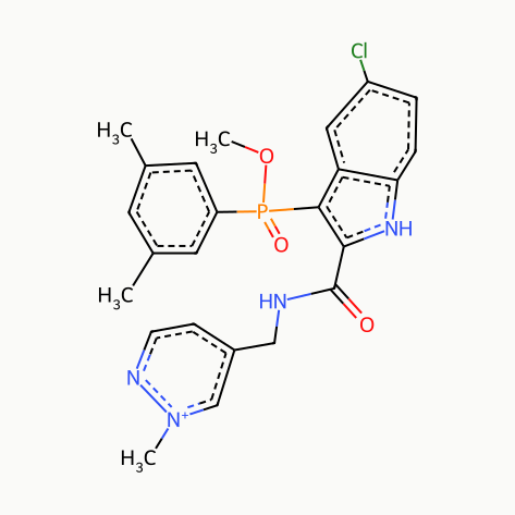 COP(=O)(c1cc(C)cc(C)c1)c1c(C(=O)NCc2ccn[n+](C)c2)[nH]c2ccc(Cl)cc12